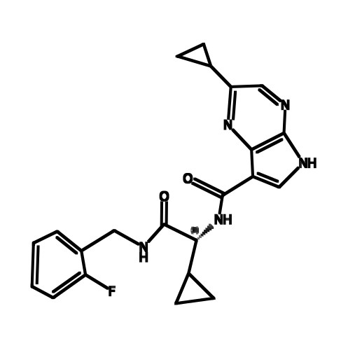 O=C(N[C@@H](C(=O)NCc1ccccc1F)C1CC1)c1c[nH]c2ncc(C3CC3)nc12